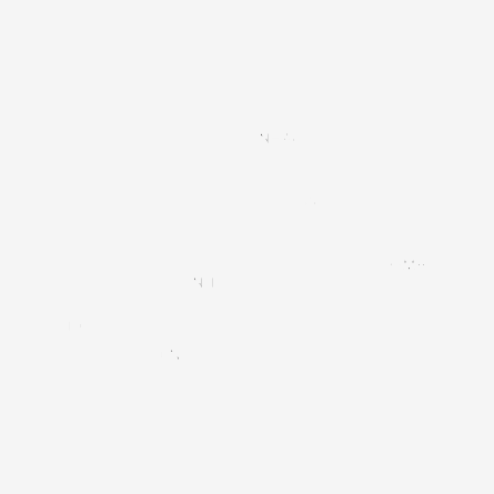 COCCOc1cc(N/C=C(\C#N)C(=O)O)ccc1NC(C)=O